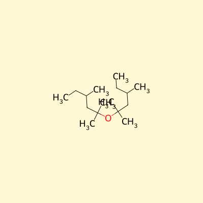 CCC(C)CC(C)(C)OC(C)(C)CC(C)CC